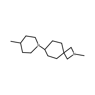 CC1CCN(C2CCC3(CC2)CN(C)C3)CC1